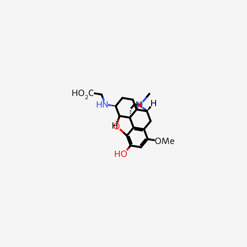 COc1cc(O)c2c3c1C[C@@H]1[C@@H]4CC[C@H](NCC(=O)O)[C@H](O2)[C@]34CCN1C